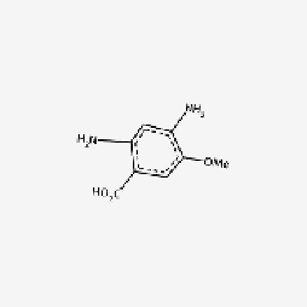 COc1cc(C(=O)O)c(N)cc1N